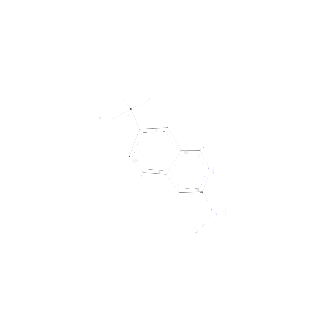 CC(C)(C)Nc1cc2ccc(C(C)(C)O)cc2cn1